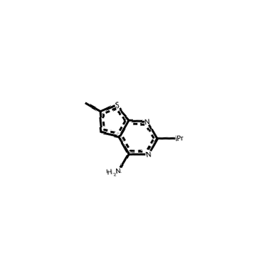 Cc1cc2c(N)nc(C(C)C)nc2s1